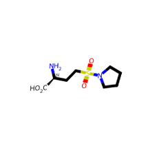 N[C@@H](CCS(=O)(=O)N1CCCC1)C(=O)O